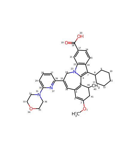 COC1=CC2=C(c3c(C4CCCCC4)c4ccc(C(=O)O)cc4n3CC(c3cccc(N4CCOCC4)n3)=C2)C(C)C1